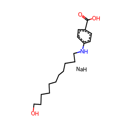 O=C(O)c1ccc(NCCCCCCCCCCCO)cc1.[NaH]